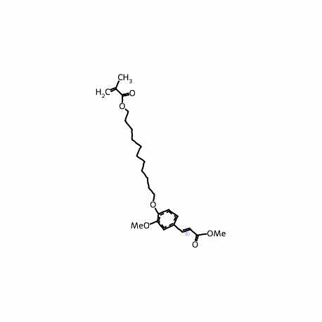 C=C(C)C(=O)OCCCCCCCCCCCOc1ccc(/C=C/C(=O)OC)cc1OC